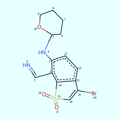 N=Cc1c(NC2CCCCO2)ccc2c1S(=O)(=O)C=C2Br